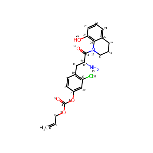 C=CCOC(=O)Oc1ccc(C[C@@H](N)C(=O)N2CCCc3cccc(O)c32)c(Cl)c1